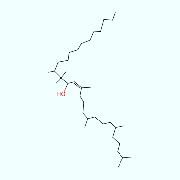 CCCCCCCCCCCC(C)C(C)(C)C(O)C=C(C)CCCC(C)CCCC(C)CCCC(C)C